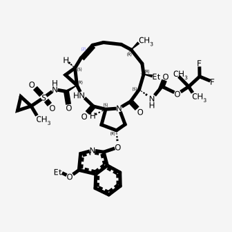 CCOc1cnc(O[C@@H]2C[C@H]3C(=O)N[C@]4(C(=O)NS(=O)(=O)C5(C)CC5)C[C@H]4/C=C\CC[C@@H](C)C[C@@H](CC)[C@H](NC(=O)OC(C)(C)C(F)F)C(=O)N3C2)c2ccccc12